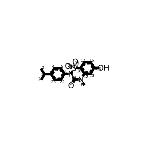 CC(C)c1ccc(N2C(=O)N(C)c3cc(O)ccc3S2(=O)=O)cc1